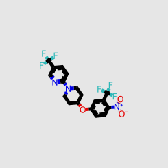 O=[N+]([O-])c1ccc(OC2CCN(c3ccc(C(F)(F)F)cn3)CC2)cc1C(F)(F)F